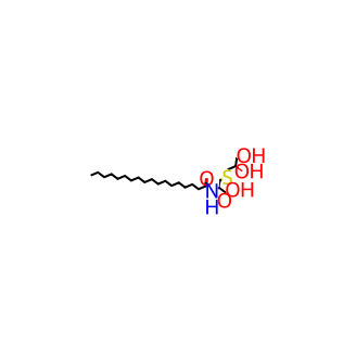 CCCCCCCCCCCCCCCCCC(=O)N[C@@H](CSC[C@H](O)CO)C(=O)O